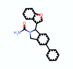 NC(=O)N1Cc2cc(-c3ccccc3)ccc2C1c1coc2ccccc12